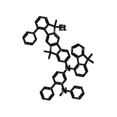 CCC1(C)c2cc3c(cc2-c2c(C4C=CC=CC4)cccc21)C(C)(C)c1cc(N(c2ccc(-c4ccccc4)c(N(C)c4ccccc4)c2)c2cccc4c2-c2ccccc2C4(C)C)ccc1-3